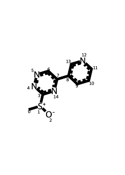 C[S+]([O-])c1nncc(-c2cccnc2)n1